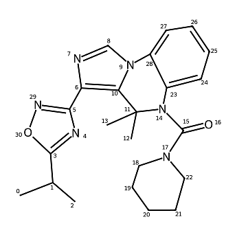 CC(C)c1nc(-c2ncn3c2C(C)(C)N(C(=O)N2CCCCC2)c2ccccc2-3)no1